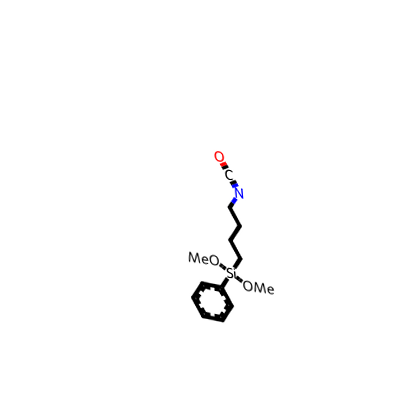 CO[Si](CCCCN=C=O)(OC)c1ccccc1